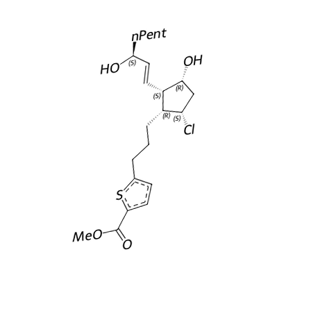 CCCCC[C@H](O)C=C[C@H]1[C@@H](CCCc2ccc(C(=O)OC)s2)[C@@H](Cl)C[C@H]1O